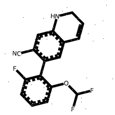 N#Cc1cc2c(cc1-c1c(F)cccc1OC(F)F)C=CCN2